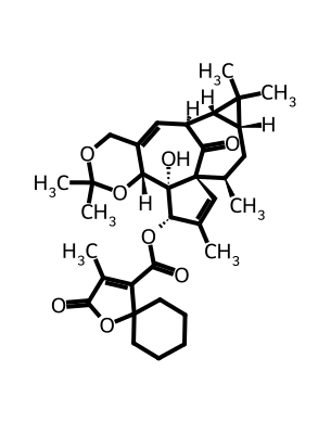 CC1=C[C@]23C(=O)[C@@H](C=C4COC(C)(C)O[C@H]4[C@]2(O)[C@H]1OC(=O)C1=C(C)C(=O)OC12CCCCC2)[C@H]1[C@@H](C[C@H]3C)C1(C)C